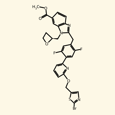 COC(=O)c1ccc2nc(Cc3cc(F)c(-c4cccc(OCc5cnc(Br)s5)n4)cc3F)n(C[C@@H]3CCO3)c2c1